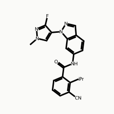 CC(C)c1c(C#N)cccc1C(=O)Nc1ccc2cnn(-c3cn(C)nc3F)c2c1